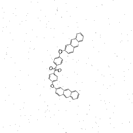 O=S(=O)(c1ccc(Oc2ccc3cc4ccccc4cc3c2)cc1)c1ccc(Oc2ccc3cc4ccccc4cc3c2)cc1